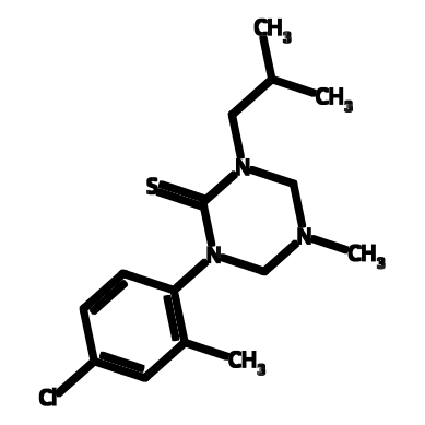 Cc1cc(Cl)ccc1N1CN(C)CN(CC(C)C)C1=S